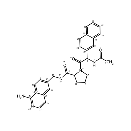 CC(=O)NC(C(=O)N1CCCC1C(=O)NCc1ccc2c(N)nccc2c1)c1ccc2ccccc2c1